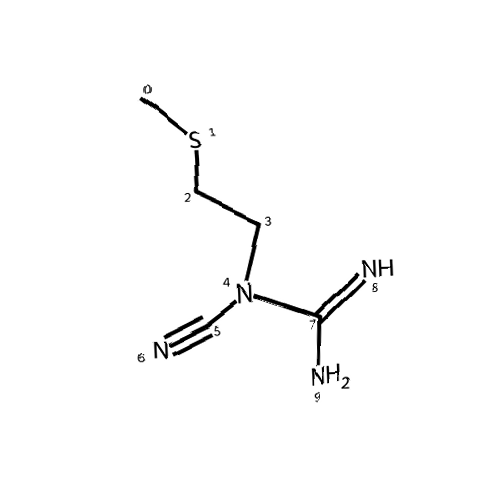 CSCCN(C#N)C(=N)N